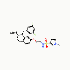 CNC1CCc2ccc(OCCNS(=O)(=O)c3ccn(C)c3)cc2C1Cc1cc(F)cc(F)c1